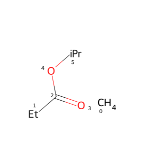 C.CCC(=O)OC(C)C